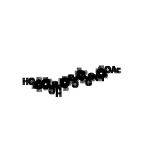 CC(=O)Oc1ccc(NOC(=O)c2cccc(C(=O)Oc3ccc(NOC(=O)c4ccc5cc(O)ccc5c4)cc3)c2)cc1